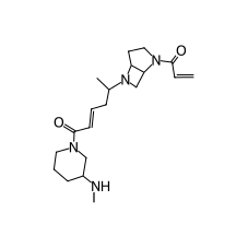 C=CC(=O)N1CCC2C1CN2C(C)C/C=C/C(=O)N1CCCC(NI)C1